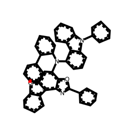 c1ccc(-c2nc3c(o2)c(N(c2ccccc2-c2ccccc2)c2cccc4c2c2ccccc2n4-c2ccccc2)cc2oc4ccccc4c23)cc1